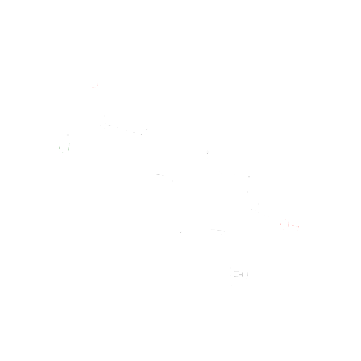 CC(C)(C)c1cc(CCC(=O)Cl)ccc1O